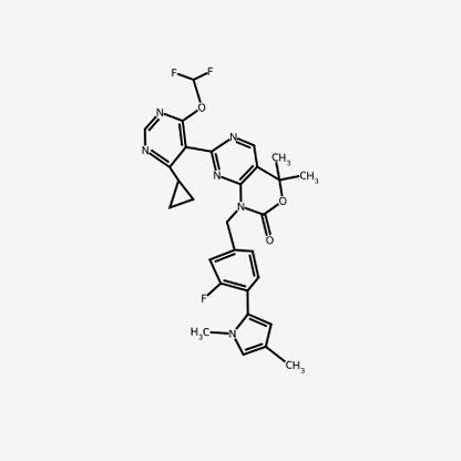 Cc1cc(-c2ccc(CN3C(=O)OC(C)(C)c4cnc(-c5c(OC(F)F)ncnc5C5CC5)nc43)cc2F)n(C)c1